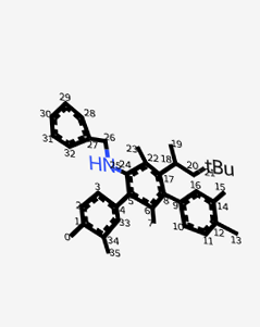 Cc1ccc(-c2c(C)c(-c3ccc(C)c(C)c3)c(C(C)CC(C)(C)C)c(C)c2NCc2ccccc2)cc1C